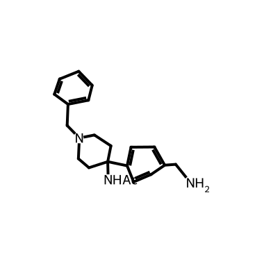 CC(=O)NC1(c2ccc(CN)cc2)CCN(Cc2ccccc2)CC1